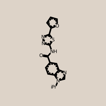 CC(C)n1cnc2cc(C(=O)Nc3nnc(-c4ccco4)s3)ccc21